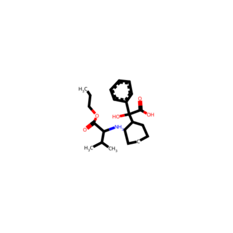 CCCOC(=O)C(N)C(C)C.O=C(O)C(O)(c1ccccc1)C1CCCCC1